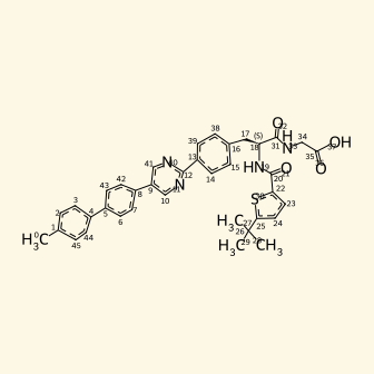 Cc1ccc(-c2ccc(-c3cnc(-c4ccc(C[C@H](NC(=O)c5ccc(C(C)(C)C)s5)C(=O)NCC(=O)O)cc4)nc3)cc2)cc1